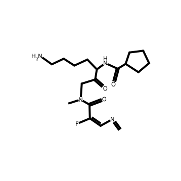 C=N/C=C(/F)C(=O)N(C)CC(=O)C(CCCCN)NC(=O)C1CCCC1